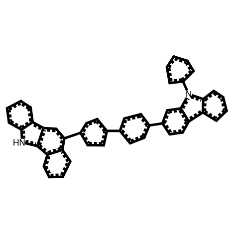 c1ccc(-n2c3ccccc3c3ccc(-c4ccc(-c5ccc(-c6cc7c8ccccc8[nH]c7c7ccccc67)cc5)cc4)cc32)cc1